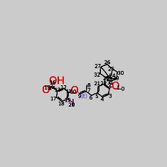 COc1ccc(C/C(C)=C/Oc2cc(C(=O)O)ccc2I)cc1C12CC3CC(CC(C3)C1)C2